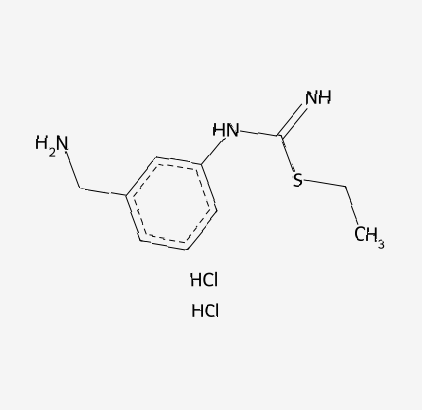 CCSC(=N)Nc1cccc(CN)c1.Cl.Cl